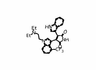 CCN(CC)CCn1cc(C2=C(c3c[nH]c4ccccc34)C(=O)NC2=O)c2c(C(F)(F)F)cccc21